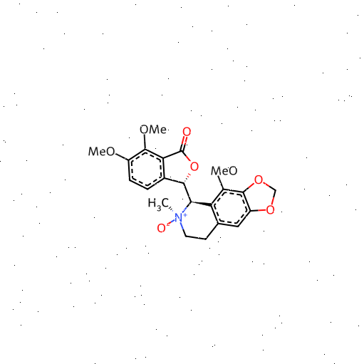 COc1ccc2c(c1OC)C(=O)O[C@@H]2[C@H]1c2c(cc3c(c2OC)OCO3)CC[N@@+]1(C)[O-]